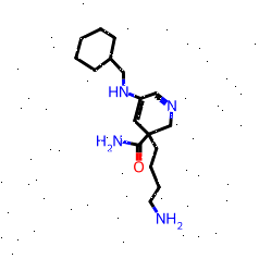 NCCCCC1(C(N)=O)C=C(NCC2CCCCC2)C=NC1